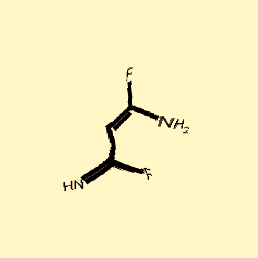 N=C(F)/C=C(\N)F